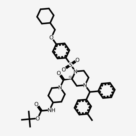 Cc1cccc(C(c2ccccc2)N2CCN(S(=O)(=O)c3ccc(OCC4CCCCC4)cc3)[C@H](C(=O)N3CCC(NC(=O)OC(C)(C)C)CC3)C2)c1